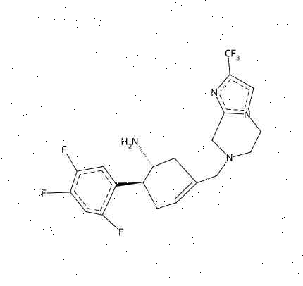 N[C@@H]1CC(CN2CCn3cc(C(F)(F)F)nc3C2)=CC[C@H]1c1cc(F)c(F)cc1F